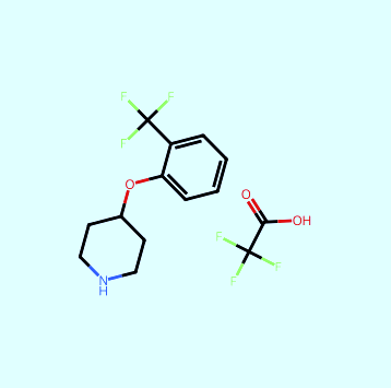 FC(F)(F)c1ccccc1OC1CCNCC1.O=C(O)C(F)(F)F